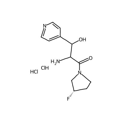 Cl.Cl.NC(C(=O)N1CC[C@H](F)C1)C(O)c1ccncc1